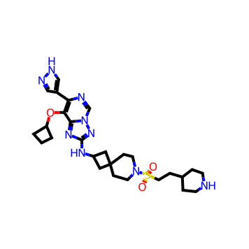 O=S(=O)(CCC1CCNCC1)N1CCC2(CC1)CC(Nc1nc3c(OC4CCC4)c(-c4cn[nH]c4)ncn3n1)C2